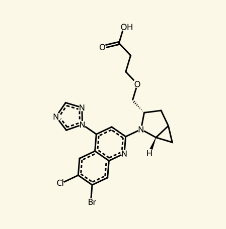 O=C(O)CCOC[C@@H]1CC2C[C@@H]2N1c1cc(-n2cncn2)c2cc(Cl)c(Br)cc2n1